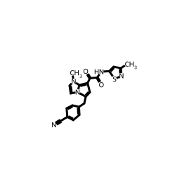 Cc1cc(NC(=O)C(=O)c2cc(Cc3ccc(C#N)cc3)n3ccn(C)c23)sn1